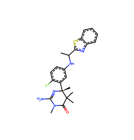 CC(Nc1ccc(F)c([C@@]2(C)N=C(N)N(C)C(=O)C2(C)C)c1)c1nc2ccccc2s1